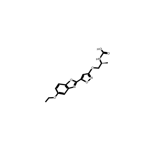 CCOc1ccc2oc(-c3cc(OC[C@H](C)NC(=O)O)no3)nc2c1